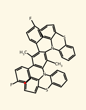 Cc1c(-c2ccc(F)cc2)c(N2c3ccccc3Sc3ccccc32)c(C)c(N2c3ccccc3Sc3ccccc32)c1-c1ccc(F)cc1